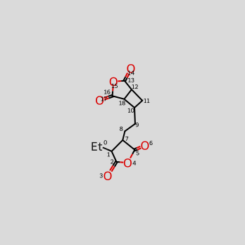 CCC1C(=O)OC(=O)C1CCC1CC2C(=O)OC(=O)C12